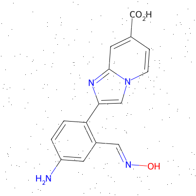 Nc1ccc(-c2cn3ccc(C(=O)O)cc3n2)c(C=NO)c1